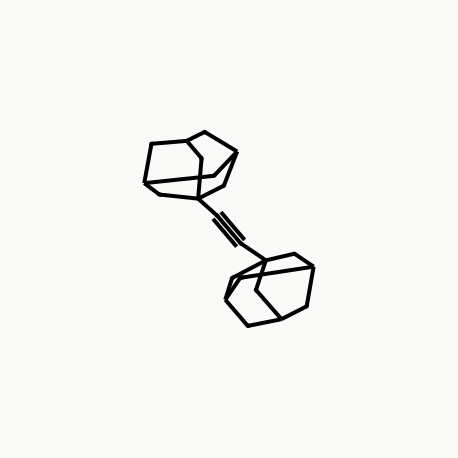 C(#CC12CC3CC(CC(C3)C1)C2)C12CC3CC(CC(C3)C1)C2